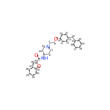 O=C(NC1CCN(CCOc2ccc(Cc3ccccc3)cc2)CC1)c1cc2ccccc2o1